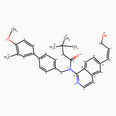 COc1ccc(-c2ccc(CN(C(=O)CC(C)(C)C)c3nccc4cc(/C=C\CO)ccc34)cc2)cc1C